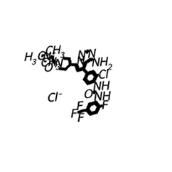 C[N+](C)(C)CC(=O)N1CCC(c2cc(-c3ccc(NC(=O)Nc4cc(C(F)(F)F)ccc4F)c(Cl)c3)c3c(N)ncnn23)CC1.[Cl-]